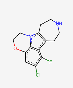 Fc1c(Cl)cc2c3c1c1c(n3CCO2)CCNCC1